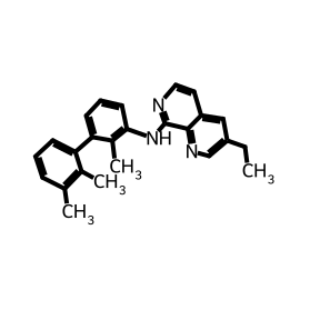 CCc1cnc2c(Nc3cccc(-c4cccc(C)c4C)c3C)nccc2c1